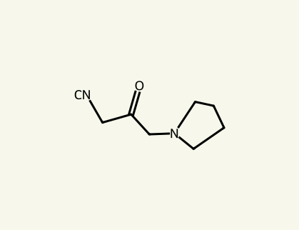 [C-]#[N+]CC(=O)CN1CCCC1